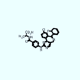 C[C@H](NC(=O)c1ccc(Nc2ncc3c(n2)-c2ccc(Cl)cc2C(C2=CC=CCC2F)=NC3)cc1)C(=O)O